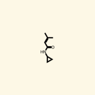 CC(C)=CC(=O)NC1CC1